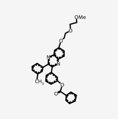 COCCOCCOc1ccc2nc(-c3cccc(OC(=O)c4ccccc4)c3)c(-c3cccc(C)c3)nc2c1